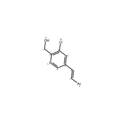 CC(=O)/C=C/c1cnc(CO)c(Cl)c1